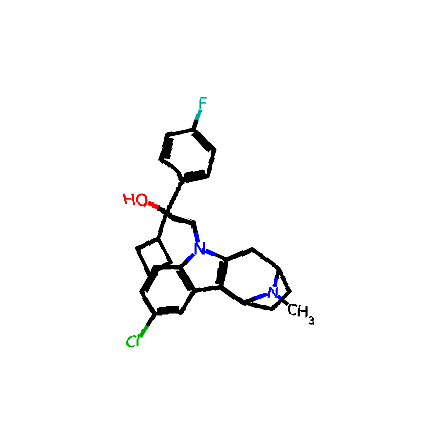 CN1C2CCC1c1c(n(CC(O)(c3ccc(F)cc3)C3CCC3)c3ccc(Cl)cc13)C2